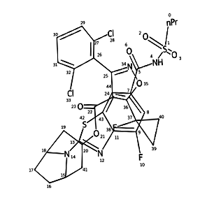 CCCS(=O)(=O)NC(=O)c1cc(F)c2nc(N3C4CCC3CC(OC(=O)c3c(-c5c(Cl)cccc5Cl)noc3C3(F)CC3)C4)sc2c1